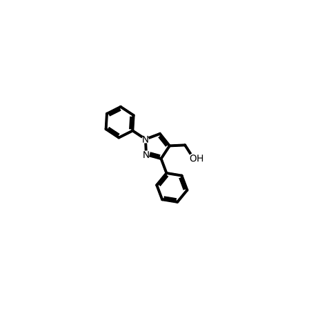 OCc1cn(-c2ccccc2)nc1-c1ccccc1